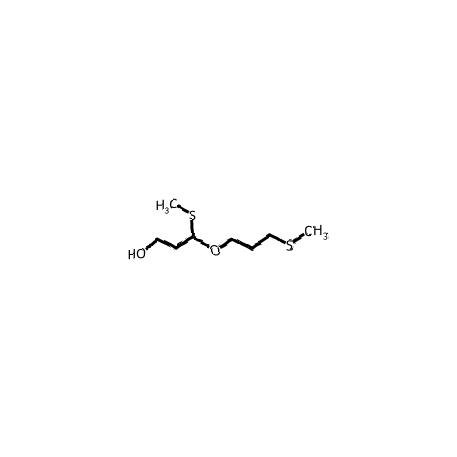 CSCCCOC(CCO)SC